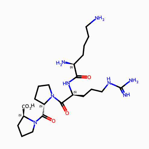 N=C(N)NCCC[C@H](NC(=O)[C@@H](N)CCCCN)C(=O)N1CCC[C@H]1C(=O)N1CCC[C@H]1C(=O)O